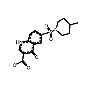 CC1CCN(S(=O)(=O)c2ccc3[nH]cc(C(=O)O)c(=O)c3c2)CC1